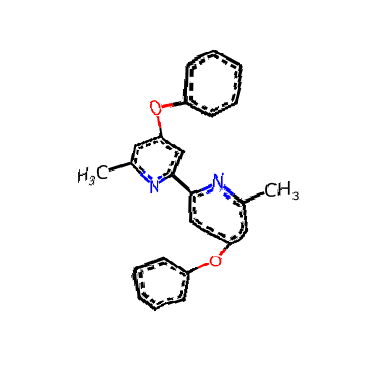 Cc1cc(Oc2ccccc2)cc(-c2cc(Oc3ccccc3)cc(C)n2)n1